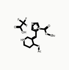 CC(=O)SC1CCNCC1=Cc1cncn1C(=O)OC(C)(C)C.O=C(O)C(F)(F)F